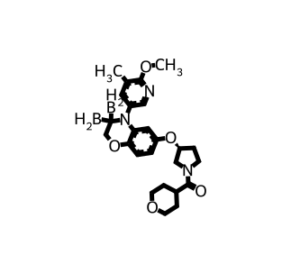 BC1(B)COc2ccc(O[C@H]3CCN(C(=O)C4CCOCC4)C3)cc2N1c1cnc(OC)c(C)c1